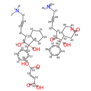 CN(C)CC#CCCC(=O)C(O)(c1ccccc1)C1CCCCC1.CN(C)CC#CCCC(=O)[C@](O)(c1ccccc1)C1CCCCC1.O.O=C(O)C=CC(=O)O